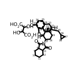 O=C(O)C(O)C(O)C(=O)O.O=C1C2CCCCC2C(=O)N1[C@@H]1CC[C@@]2(O)[C@H]3Cc4ccc(O)c5c4[C@@]2(CCN3CC2CC2)[C@H]1O5